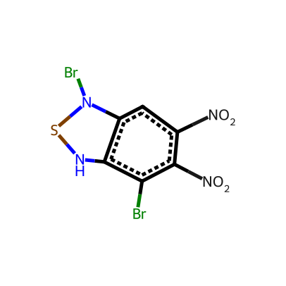 O=[N+]([O-])c1cc2c(c(Br)c1[N+](=O)[O-])NSN2Br